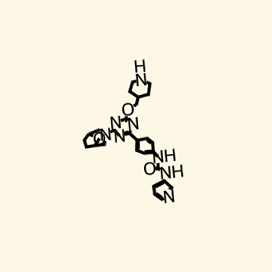 O=C(Nc1ccc(-c2nc(OCC3CCNCC3)nc(N3CC4CCC(C3)O4)n2)cc1)Nc1cccnc1